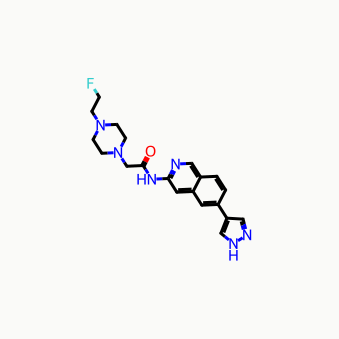 O=C(CN1CCN(CCF)CC1)Nc1cc2cc(-c3cn[nH]c3)ccc2cn1